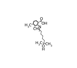 Cc1ccc(C(=O)O)c(N=CCCCCCC(C)(C)O)c1C